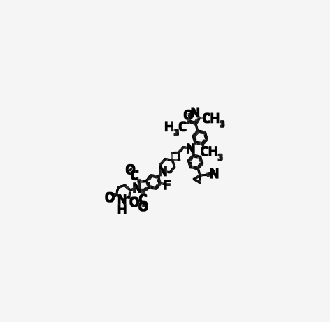 Cc1ccc(-c2c(C)noc2C)cc1N(CC1CC2(CCN(c3cc4c(=C=O)n(C5CCC(=O)NC5=O)c(=C=O)c4cc3F)CC2)C1)c1ccc(C2(C#N)CC2)cc1